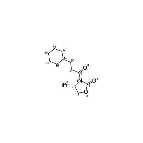 CC(C)[C@H]1COC(=O)N1C(=O)CCC1CCCCC1